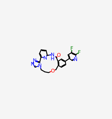 O=C1Nc2cccc(n2)-c2nncn2CCCOCc2ccc(-c3cnc(F)c(F)c3)cc21